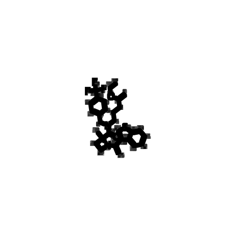 C=C(CCCN(Cc1ccc(C(F)(F)F)cc1)C(=O)C1(C)CCN1C(=C)c1csc2ccccc12)OCC